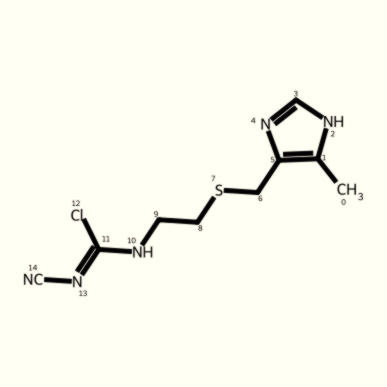 Cc1[nH]cnc1CSCCN/C(Cl)=N/C#N